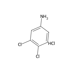 Cl.Nc1ccc(Cl)c(Cl)c1